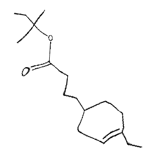 CC1=CCC(CCC(=O)OC(C)(C)C)CC1